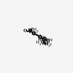 Cn1nc(CC=O)cc1-c1ccc(C#Cc2ccc(C(=O)N[C@H](C(=O)NO)C(C)(C)N)cc2)cc1